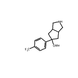 COC1(c2ccc(C(F)(F)F)cc2)CC2CNCC2C1